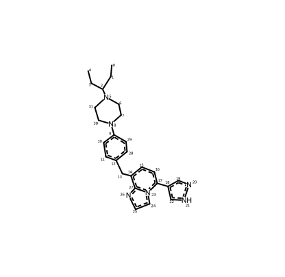 CCC(CC)N1CCN(c2ccc(Cc3ccc(-c4cn[nH]c4)n4ccnc34)cc2)CC1